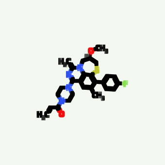 C=CC(=O)N1CCN(C2=NC(=C)N3C[C@H](OC)CSc4c(-c5ccc(F)cc5)c(C)cc2c43)CC1